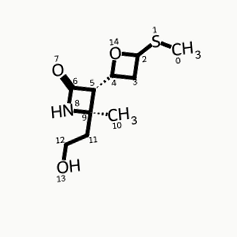 CSC1CC([C@H]2C(=O)N[C@]2(C)CCO)O1